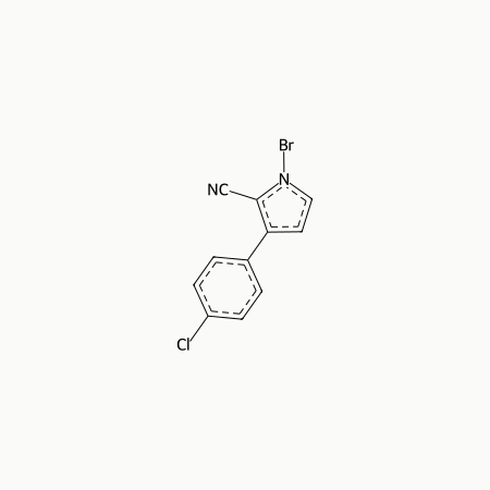 N#Cc1c(-c2ccc(Cl)cc2)ccn1Br